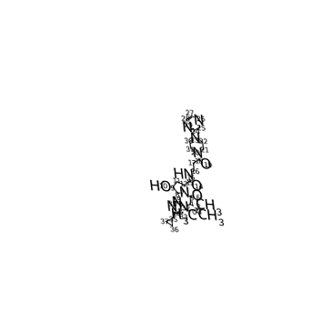 CC(C)(C)[C@@H](C(=O)N1C[C@H](O)C[C@H]1C(=O)NCCC(=O)N1CCN(c2cnccn2)CC1)n1cc(C2CC2)nn1